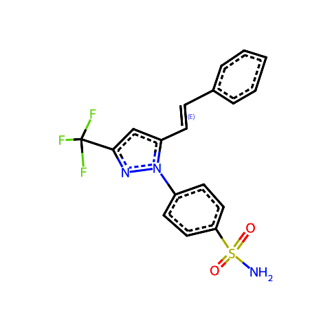 NS(=O)(=O)c1ccc(-n2nc(C(F)(F)F)cc2/C=C/c2ccccc2)cc1